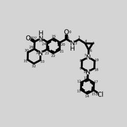 O=C(NCC1CC1N1CCN(c2cccc(Cl)c2)CC1)c1ccc2c(c1)NC(=O)C1CCCCN21